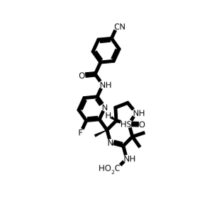 CC1(C)C(NC(=O)O)=N[C@](C)(c2nc(NC(=O)c3ccc(C#N)cc3)ccc2F)[C@@H]2CCN[SH]21=O